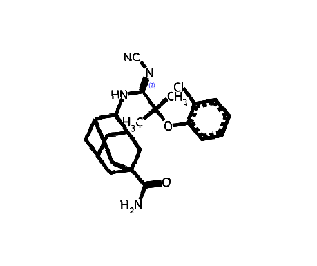 CC(C)(Oc1ccccc1Cl)/C(=N/C#N)NC1C2CC3CC1CC(C(N)=O)(C3)C2